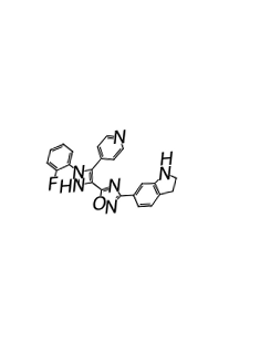 Fc1ccccc1-n1[nH]c(-c2nc(-c3ccc4c(c3)NCC4)no2)c1-c1ccncc1